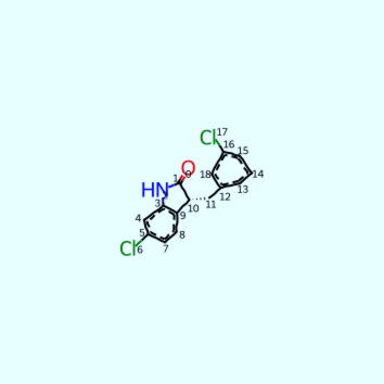 O=C1Nc2cc(Cl)ccc2[C@H]1Cc1cccc(Cl)c1